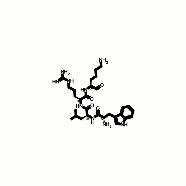 CC(C)C[C@H](NC(=O)[C@@H](N)Cc1c[nH]c2ccccc12)C(=O)N[C@@H](CCCNC(=N)N)C(=O)N[C@H]([C]=O)CCCCN